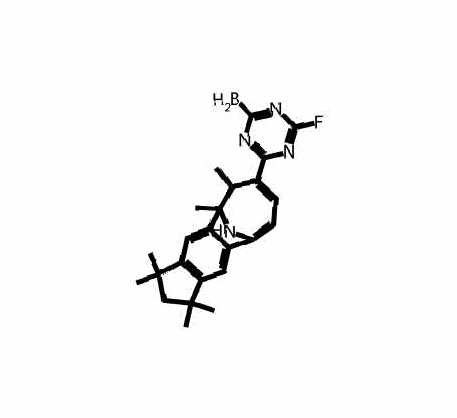 Bc1nc(F)nc(C2=CC=C3NC(C)(c4cc5c(cc43)C(C)(C)CC5(C)C)C2C)n1